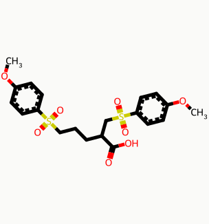 COc1ccc(S(=O)(=O)CCCC(CS(=O)(=O)c2ccc(OC)cc2)C(=O)O)cc1